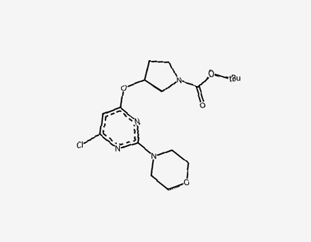 CC(C)(C)OC(=O)N1CCC(Oc2cc(Cl)nc(N3CCOCC3)n2)C1